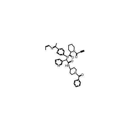 C#CC(=O)N1CCCCC1C(=O)N(c1ccc(/C(C)=N/C=C\C)cc1)C(C(=O)NC1CCN(C(=O)c2ccccc2)CC1)c1cccnc1